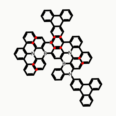 c1ccc(-c2cccc(-c3ccccc3)c2N2c3ccccc3B3c4cc5c(cc4N(c4ccc6c7ccccc7c7ccccc7c6c4)c4cccc2c43)N(c2c(-c3ccccc3)cccc2-c2ccccc2)c2cccc3c2B5c2ccccc2N3c2ccc3c4ccccc4c4ccccc4c3c2)cc1